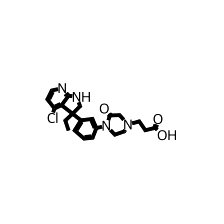 CCC1(c2cccc(N3CCN(CCC(=O)O)CC3=O)c2)CNc2nccc(Cl)c21